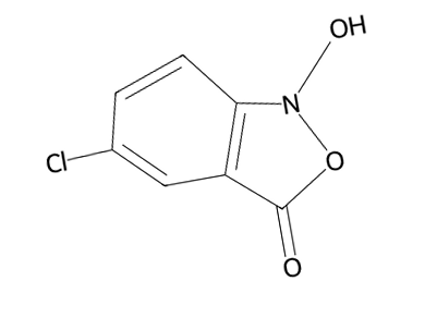 O=c1on(O)c2ccc(Cl)cc12